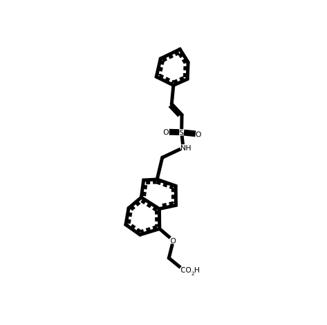 O=C(O)COc1cccc2cc(CNS(=O)(=O)C=Cc3ccccc3)ccc12